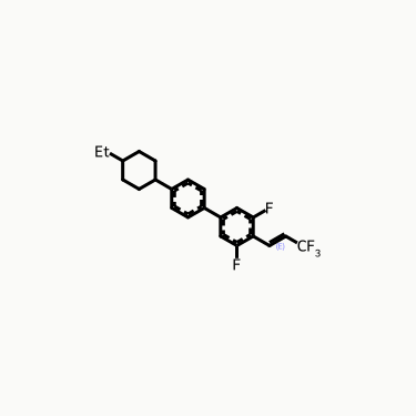 CCC1CCC(c2ccc(-c3cc(F)c(/C=C/C(F)(F)F)c(F)c3)cc2)CC1